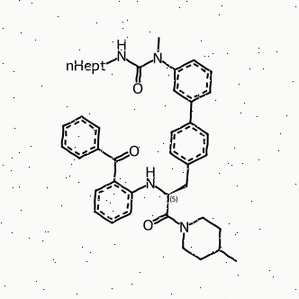 CCCCCCCNC(=O)N(C)c1cccc(-c2ccc(C[C@H](Nc3ccccc3C(=O)c3ccccc3)C(=O)N3CCC(C)CC3)cc2)c1